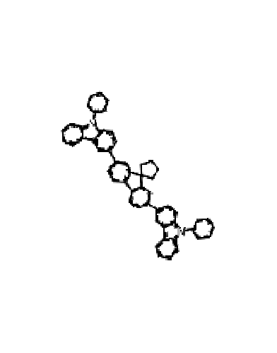 c1ccc(-n2c3ccccc3c3cc(-c4ccc5c(c4)C4(CCCC4)c4cc(-c6ccc7c(c6)c6ccccc6n7-c6ccccc6)ccc4-5)ccc32)cc1